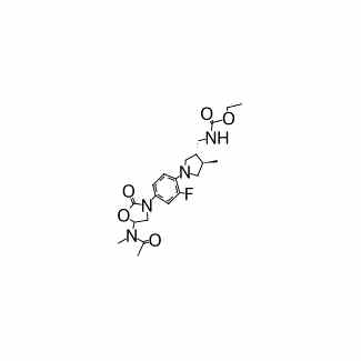 CCOC(=O)NC[C@H]1CN(c2ccc(N3CC(N(C)C(C)=O)OC3=O)cc2F)C[C@@H]1C